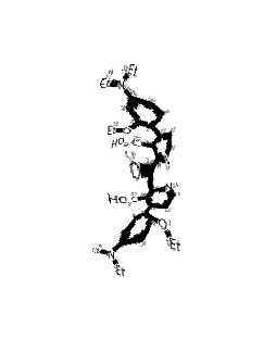 CCOc1cc(N(CC)CC)ccc1-c1ccnc(C(=O)c2nccc(-c3ccc(N(CC)CC)cc3OCC)c2C(=O)O)c1C(=O)O